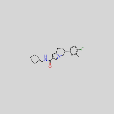 Cc1cc(C2CCc3cc(C(=O)NCC4CCCCC4)cn3C2)ccc1F